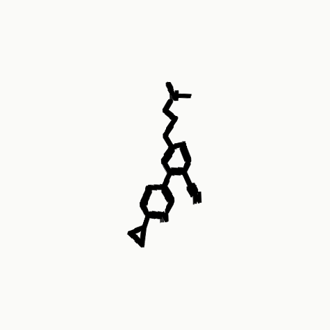 CN(C)CCCc1ccc(C#N)c(-c2ccc(C3CC3)nc2)c1